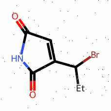 CCC(Br)C1=CC(=O)NC1=O